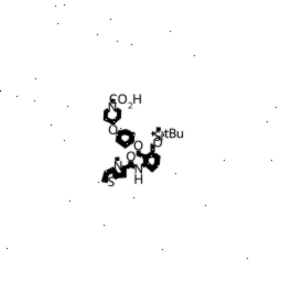 Cn1c(C(=O)Nc2cccc(CO[Si](C)(C)C(C)(C)C)c2COc2ccc(OC3CCN(C(=O)O)CC3)cc2)cc2sccc21